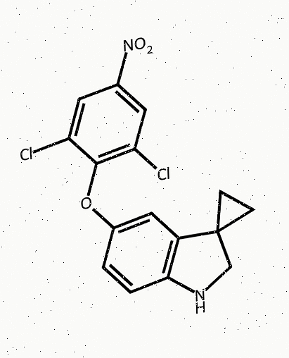 O=[N+]([O-])c1cc(Cl)c(Oc2ccc3c(c2)C2(CC2)CN3)c(Cl)c1